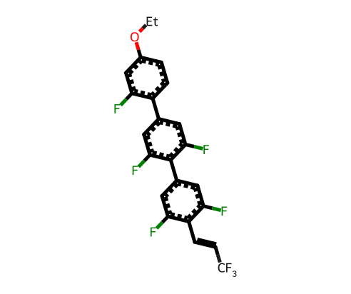 CCOc1ccc(-c2cc(F)c(-c3cc(F)c(/C=C/C(F)(F)F)c(F)c3)c(F)c2)c(F)c1